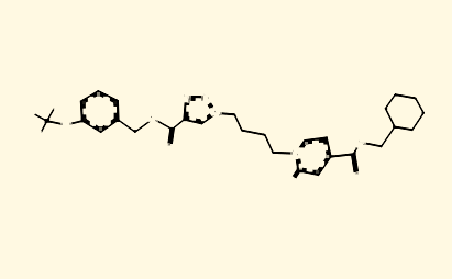 O=C(NCC1CCCCC1)c1ccn(CCCCn2cc(C(=O)NCc3cccc(OC(F)(F)F)c3)nn2)c(=O)c1